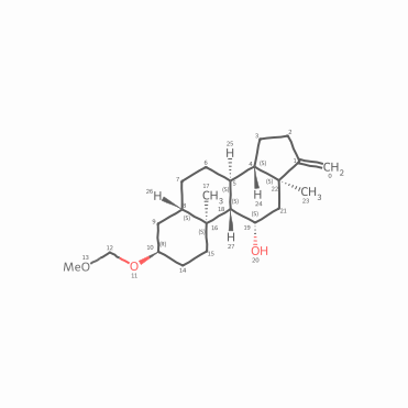 C=C1CC[C@H]2[C@@H]3CC[C@H]4C[C@H](OCOC)CC[C@]4(C)[C@H]3[C@@H](O)C[C@]12C